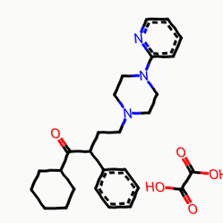 O=C(C1CCCCC1)C(CCN1CCN(c2ccccn2)CC1)c1ccccc1.O=C(O)C(=O)O